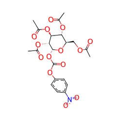 CC(=O)OC[C@H]1O[C@H](OC(=O)Oc2ccc([N+](=O)[O-])cc2)[C@H](OC(C)=O)[C@@H](OC(C)=O)[C@@H]1OC(C)=O